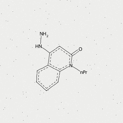 CCCn1c(=O)cc(NN)c2ccccc21